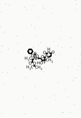 CC(C)OC(=O)[C@H](C)N[P@](=O)(OCC1O[C@@H](n2ccc(=O)[nH]c2=O)[C@](C)(F)[C@@H]1O)Oc1ccccc1